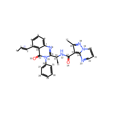 C/C=C/c1cccc2nc([C@H](C)NC(=O)c3c(C)nn4cccnc34)n(-c3ccccc3)c(=O)c12